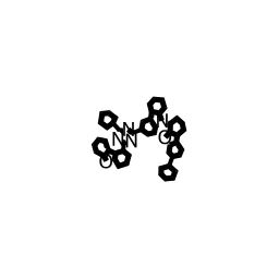 c1ccc(-c2ccc3c(c2)oc2c(-n4c5ccccc5c5cc(-c6nc(-c7ccccc7)nc(-c7cccc8oc9ccccc9c78)n6)ccc54)cccc23)cc1